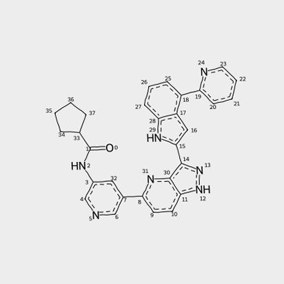 O=C(Nc1cncc(-c2ccc3[nH]nc(-c4cc5c(-c6ccccn6)cccc5[nH]4)c3n2)c1)C1CCCC1